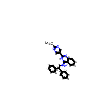 COc1ncc(-c2nc(NCC(c3ccccc3)c3ccccc3)c3ccccc3n2)cn1